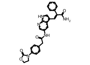 NC(=O)/C(=C/c1c[nH]c2ncc(NC(=O)Cc3ccc(N4CCOC4=O)cc3)cc12)c1ccccc1